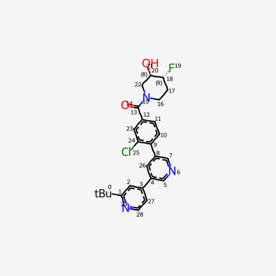 CC(C)(C)c1cc(-c2cncc(-c3ccc(C(=O)N4CC[C@@H](F)[C@H](O)C4)cc3Cl)c2)ccn1